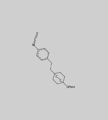 CCCCCC12CCC(CCc3ccc(N=C=S)cc3)(CC1)CC2